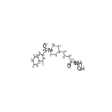 Cc1cc([S+]([O-])N2CCC(CCCC(=O)NO)CC2)cc2ccccc12